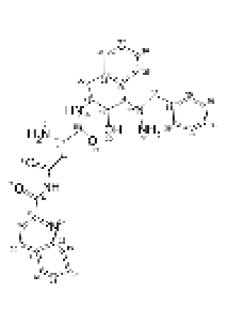 N[C@@H](CC(=O)NC(=O)c1ccc2ccccc2n1)C(=O)NC(Cc1ccccc1)C(O)CN(N)Cc1ccccc1